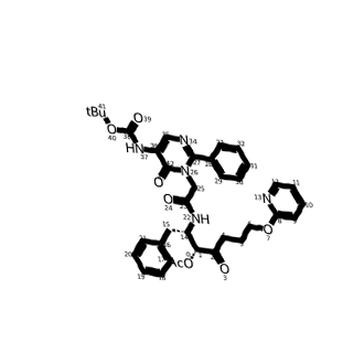 CC(=O)O[C@@H](C(=O)CCCOc1ccccn1)[C@H](Cc1ccccc1)NC(=O)Cn1c(-c2ccccc2)ncc(NC(=O)OC(C)(C)C)c1=O